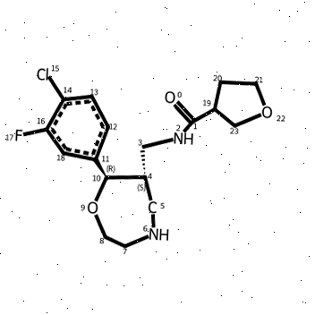 O=C(NC[C@@H]1CNCCO[C@H]1c1ccc(Cl)c(F)c1)C1CCOC1